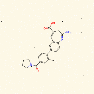 Cc1cc(C(=O)N2CCCC2)ccc1-c1ccc2c(c1)C=C(C(=O)O)CC(N)=N2